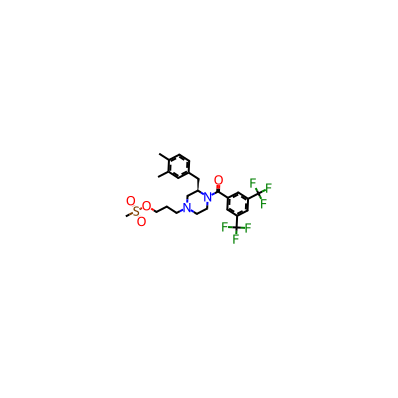 Cc1ccc(C[C@@H]2CN(CCCOS(C)(=O)=O)CCN2C(=O)c2cc(C(F)(F)F)cc(C(F)(F)F)c2)cc1C